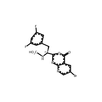 O=C(O)N[C@@H](Cc1cc(F)cc(F)c1)c1nc2ncc(Br)cc2c(=O)o1